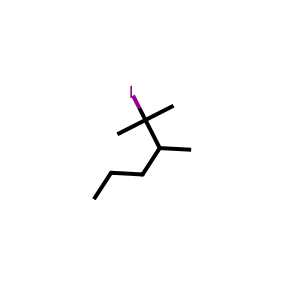 CCCC(C)C(C)(C)I